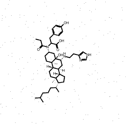 CCC(=O)N(C(Cc1ccc(O)cc1)C(=O)O)[C@H]1CC[C@]2(C)[C@H]3CC[C@]4(C)[C@@H](C(C)CCCC(C)C)CC[C@H]4[C@@H]3C[C@@H](NCCc3c[nH]cn3)[C@@]2(O)C1